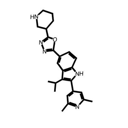 Cc1cc(-c2[nH]c3ccc(-c4nnc(C5CCCNC5)o4)cc3c2C(C)C)cc(C)n1